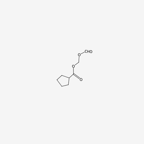 O=COCOC(=O)C1CCCC1